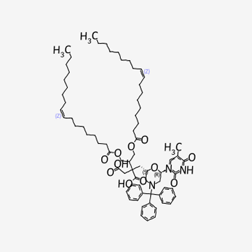 CCCCCCCC/C=C\CCCCCCCC(=O)OCC(COC(=O)CCCCCCC/C=C\CCCCCCCC)C(CC(=O)O)(C[C@H]1CN(C(c2ccccc2)(c2ccccc2)c2ccccc2)C[C@H](n2cc(C)c(=O)[nH]c2=O)O1)C(=O)O